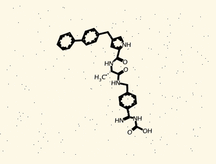 C[C@H](NC(=O)c1cc(Cc2ccc(-c3ccccc3)cc2)c[nH]1)C(=O)NCc1ccc(C(=N)NC(=O)O)cc1